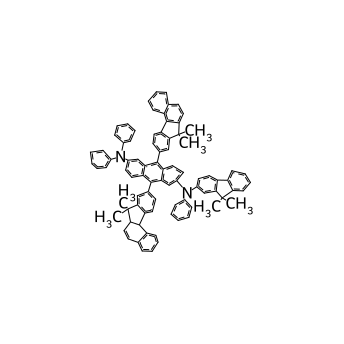 CC1(C)c2ccccc2-c2ccc(N(c3ccccc3)c3ccc4c(-c5ccc6c(c5)C(C)(C)c5ccc7ccccc7c5-6)c5cc(N(c6ccccc6)c6ccccc6)ccc5c(-c5ccc6c(c5)C(C)(C)C5C=Cc7ccccc7C65)c4c3)cc21